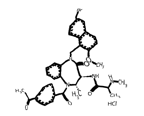 CNC(C)C(=O)N[C@@H]1C(=O)N(Cc2c(OC)ccc3cc(Br)ccc23)c2ccccc2N(C(=O)c2ccc(C(C)=O)cc2)[C@H]1C.Cl